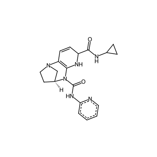 O=C(NC1CC1)C1C=CC2=C(N1)N(C(=O)Nc1ccccn1)[C@H]1CCN2C1